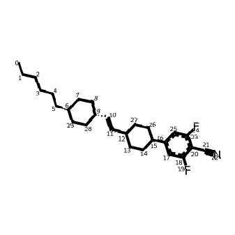 CCCCCC[C@H]1CC[C@H](/C=C/C2CCC(c3cc(F)c(C#N)c(F)c3)CC2)CC1